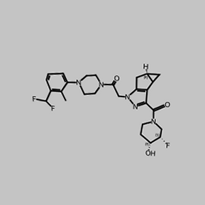 Cc1c(C(F)F)cccc1N1CCN(C(=O)Cn2nc(C(=O)N3CC[C@@H](O)[C@@H](F)C3)c3c2C[C@H]2CC32)CC1